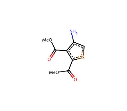 COC(=O)c1scc(N)c1C(=O)OC